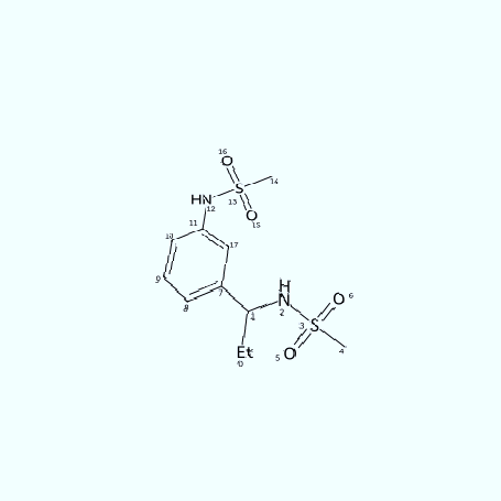 [CH2]CC(NS(C)(=O)=O)c1cccc(NS(C)(=O)=O)c1